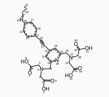 O=C(O)CN(CC(=O)O)Cc1cc(C#Cc2ccc(N=C=S)cc2)cc(CN(CC(=O)O)CC(=O)O)n1